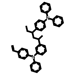 C=Cc1ccc(N(c2ccccc2)c2cccc(C(C)CC(CC)c3ccc(N(c4ccccc4)c4ccccc4)cc3)c2)cc1